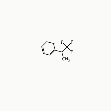 CC(C1=CC=CC[CH]1)C(F)(F)F